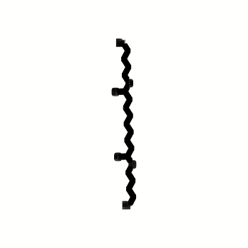 O=C(CCCCCCCC(=O)OCCCCBr)OCCCCBr